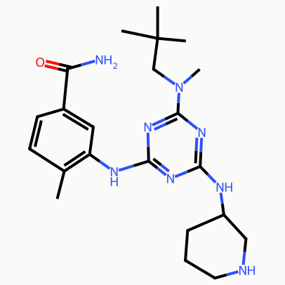 Cc1ccc(C(N)=O)cc1Nc1nc(NC2CCCNC2)nc(N(C)CC(C)(C)C)n1